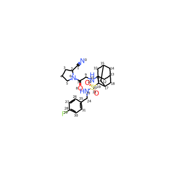 N#CC1CCCN1C(=O)CNC12CC3CC(CC(C3)C1S(=O)(=O)NCc1ccc(F)cc1)C2